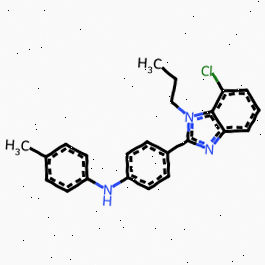 CCCn1c(-c2ccc(Nc3ccc(C)cc3)cc2)nc2cccc(Cl)c21